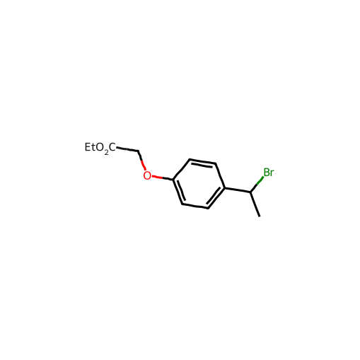 CCOC(=O)COc1ccc(C(C)Br)cc1